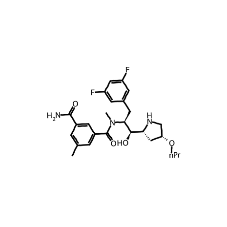 CCCO[C@H]1CN[C@@H]([C@@H](O)[C@H](Cc2cc(F)cc(F)c2)N(C)C(=O)c2cc(C)cc(C(N)=O)c2)C1